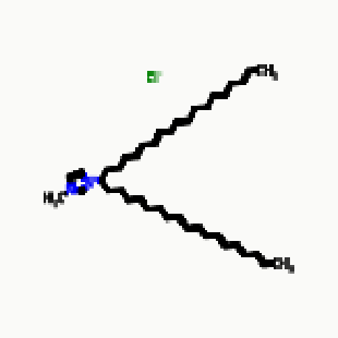 CCCCCCCCC=CCCCCCCCCC(CCCCCCCCC=CCCCCCCCC)[n+]1ccn(C)c1.[Cl-]